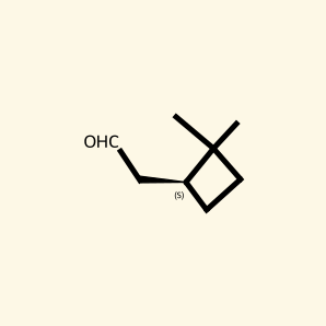 CC1(C)CC[C@H]1CC=O